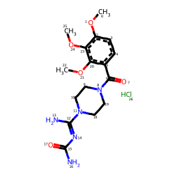 COc1ccc(C(=O)N2CCN(C(N)=NC(N)=O)CC2)c(OC)c1OC.Cl